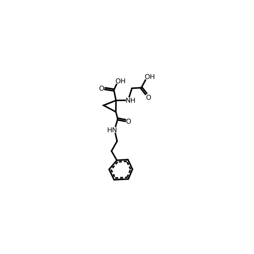 O=C(O)CNC1(C(=O)O)CC1C(=O)NCCc1ccccc1